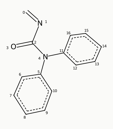 C=NC(=O)N(c1ccccc1)c1ccccc1